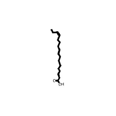 CC/C=C\CCCCCCCCCCCCC(=O)O